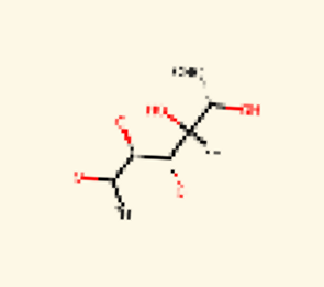 [2H]C(O)[C@@H](O)[C@@H](O)[C@]([2H])(O)[C@@H](O)C=O